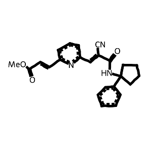 COC(=O)/C=C/c1cccc(/C=C(\C#N)C(=O)NC2(c3ccccc3)CCCC2)n1